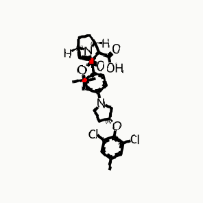 Cc1cc(Cl)c(O[C@@H]2CCN(c3ccc(C4=C[C@@H]5CC[C@H](C4C(=O)O)N5C(=O)OC(C)(C)C)cc3)C2)c(Cl)c1